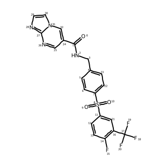 O=C(NCc1ccc(S(=O)(=O)c2ccc(F)c(C(F)(F)F)c2)cc1)c1cnc2nccn2c1